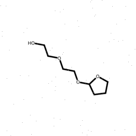 OCCOCCOC1CCCO1